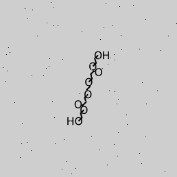 O=C(CCOCCOCCC(=O)OCCO)OCCO